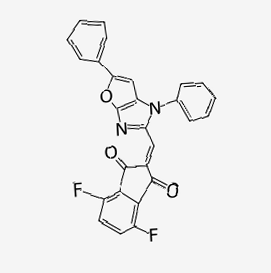 O=C1C(=Cc2nc3oc(-c4ccccc4)cc3n2-c2ccccc2)C(=O)c2c(F)ccc(F)c21